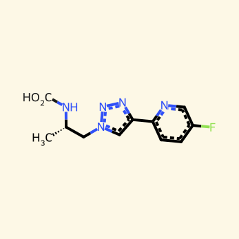 C[C@@H](Cn1cc(-c2ccc(F)cn2)nn1)NC(=O)O